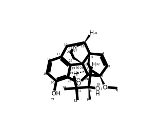 CO[C@]12C=C[C@@]3(C[C@@H]1[C@](C)(O)C(C)(C)C)[C@H]1Cc4ccc(O)c5c4[C@@]3(CCN1)[C@H]2O5